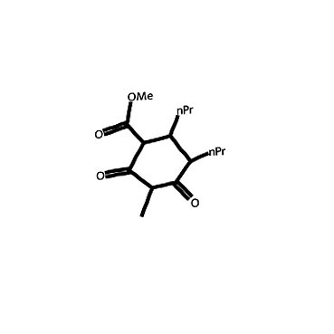 CCCC1C(=O)C(C)C(=O)C(C(=O)OC)C1CCC